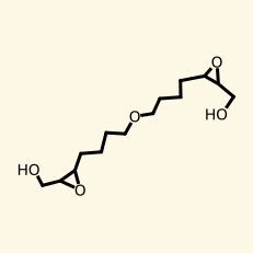 OCC1OC1CCCCOCCCCC1OC1CO